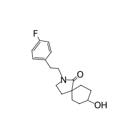 O=C1N(CCc2ccc(F)cc2)CCC12CCC(O)CC2